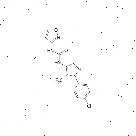 O=C(Nc1ccon1)Nc1cnn(-c2ccc(Cl)cc2)c1C(F)(F)F